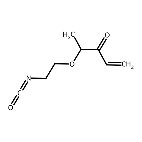 C=CC(=O)C(C)OCCN=C=O